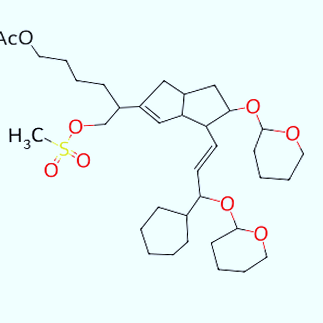 CC(=O)OCCCCC(COS(C)(=O)=O)C1=CC2C(C1)CC(OC1CCCCO1)C2C=CC(OC1CCCCO1)C1CCCCC1